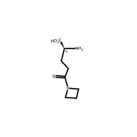 N[C@@H](CCC(=O)N1CCC1)C(=O)O